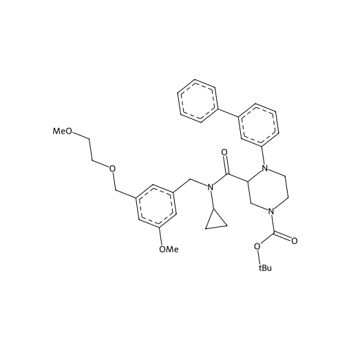 COCCOCc1cc(CN(C(=O)C2CN(C(=O)OC(C)(C)C)CCN2c2cccc(-c3ccccc3)c2)C2CC2)cc(OC)c1